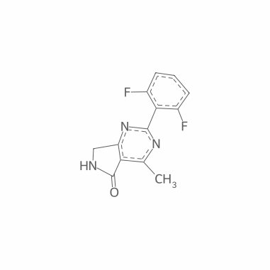 Cc1nc(-c2c(F)cccc2F)nc2c1C(=O)NC2